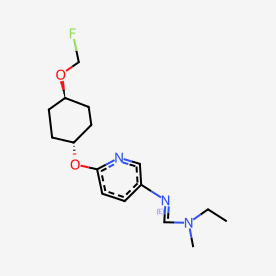 CCN(C)/C=N/c1ccc(O[C@H]2CC[C@H](OCF)CC2)nc1